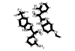 CCOc1ccc2[nH]c(C(=S=O)c3cccnc3N)nc2c1.Nc1cccc(C(=S=O)c2nc3cc(C(F)(F)F)ccc3[nH]2)n1